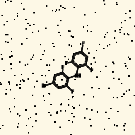 Fc1cc(F)c(Nc2c(F)cc(Br)cc2F)c(F)c1